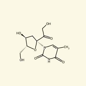 Cc1cn([C@@]2(C(=O)CO)C[C@H](O)[C@@H](CO)O2)c(=O)[nH]c1=O